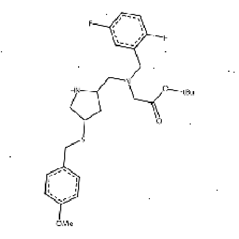 COc1ccc(CSC2CNC(CN(CC(=O)OC(C)(C)C)Cc3cc(F)ccc3F)C2)cc1